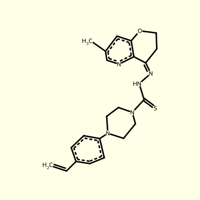 C=Cc1ccc(N2CCN(C(=S)N/N=C3/CCOc4cc(C)cnc43)CC2)cc1